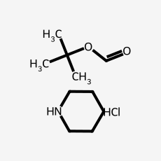 C1CCNCC1.CC(C)(C)OC=O.Cl